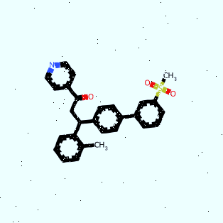 Cc1ccccc1C(CC(=O)c1ccncc1)c1ccc(-c2cccc(S(C)(=O)=O)c2)cc1